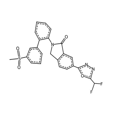 CS(=O)(=O)c1cccc(-c2ccccc2N2Cc3ccc(-c4nnc(C(F)F)o4)cc3C2=O)c1